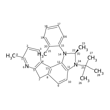 Cc1ccc2c(n1)Cc1ccc3c(c1-2)N(c1ccccc1C)[C@@H](C)N3C(C)(C)C